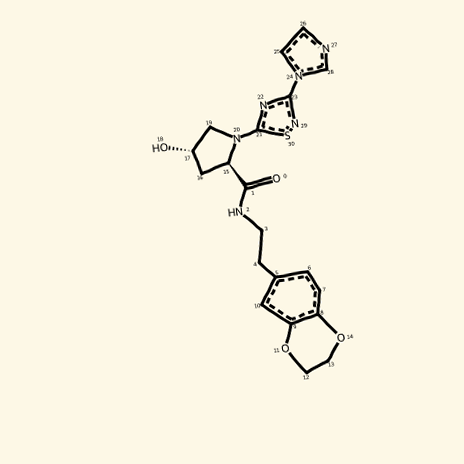 O=C(NCCc1ccc2c(c1)OCCO2)[C@H]1C[C@H](O)CN1c1nc(-n2ccnc2)ns1